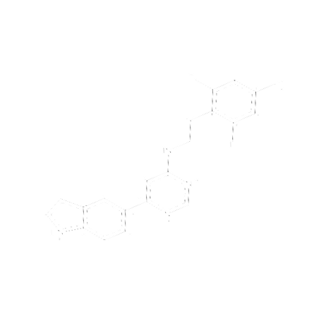 Fc1cc(Br)cc(F)c1CCNc1cc(-c2ccc3[nH]ccc3c2)ncn1